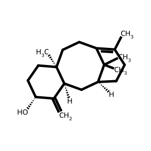 C=C1[C@H](O)CC[C@@]2(C)CCC3=C(C)CC[C@@H](C[C@@H]12)C3(C)C